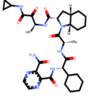 CCC[C@H](NC(=O)[C@@H]1C[C@@H]2CCCC[C@@H]2N1C(=O)[C@@H](NC(=O)[C@@H](NC(=O)c1nccnc1C(N)=O)C1CCCCC1)C(C)(C)C)C(=O)C(=O)NC1CC1